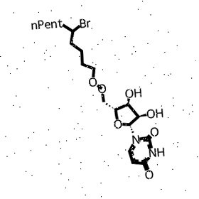 CCCCCC(Br)CCCCOOC[C@H]1O[C@@H](n2ccc(=O)[nH]c2=O)[C@H](O)[C@@H]1O